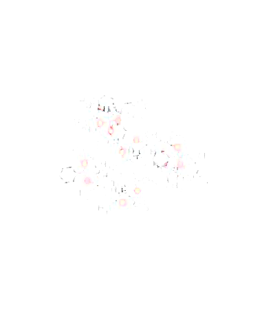 C=C[Si](C)(C)C[Si](O[Si](C)(C)C=C)(O[Si](C)(C)CC[Si](C)(C)O[Si](C)(O[Si](C)(C)CC[Si](C)(C)O[Si](C)(C)O[Si](C)(C)CC[Si](C)(C)O[Si](C)(O[Si](C)(C)CC[Si](C)(C)OC(O[Si](C)(C)C=C)(O[Si](C)(C)C=C)c1ccccc1)c1ccccc1)c1ccccc1)c1ccccc1